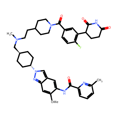 COc1cc2nn([C@H]3CC[C@H](CN(C)CCC4CCN(C(=O)c5ccc(F)c(C6CCC(=O)NC6=O)c5)CC4)CC3)cc2cc1NC(=O)c1cccc(C)n1